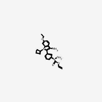 C=COC(=O)N(N)c1cccc(-c2c(N)c3ccc(OCC)cc3n2C2CCC2)c1